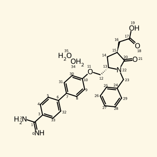 N=C(N)c1ccc(-c2ccc(OC[C@@H]3C[C@@H](CC(=O)O)C(=O)N3Cc3ccccc3)cc2)cc1.O.O